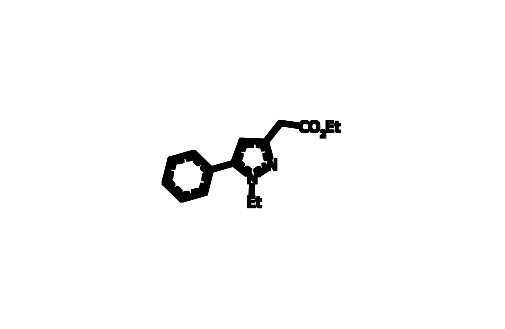 CCOC(=O)Cc1cc(-c2ccccc2)n(CC)n1